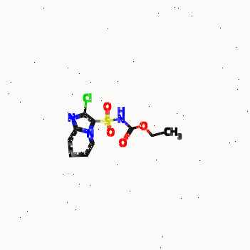 CCOC(=O)NS(=O)(=O)c1c(Cl)nc2ccccn12